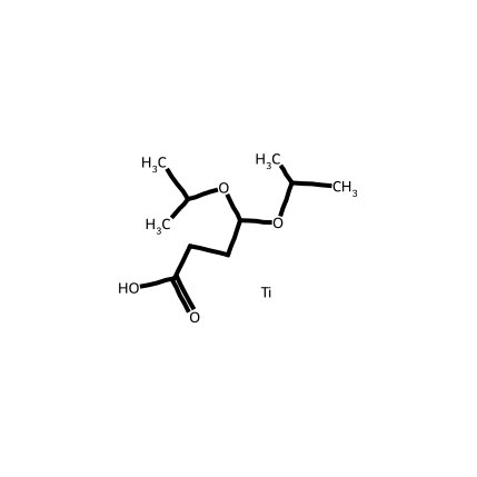 CC(C)OC(CCC(=O)O)OC(C)C.[Ti]